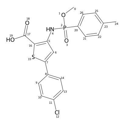 COP(=O)(Nc1cc(-c2ccc(Cl)cc2)sc1C(=O)O)c1ccc(C)cc1